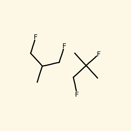 CC(C)(F)CF.CC(CF)CF